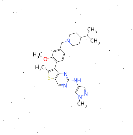 COc1cc(CN2CCC(C(C)C)CC2)ccc1-c1c(C)sc2cnc(Nc3cnn(C)c3)nc12